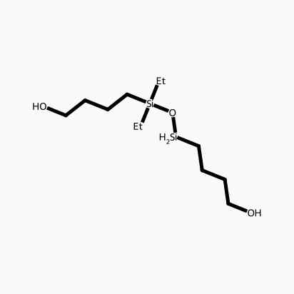 CC[Si](CC)(CCCCO)O[SiH2]CCCCO